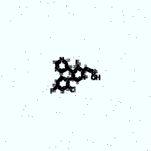 O/N=C\c1ncc(-c2ccc(F)cc2Cl)c(-c2cncnc2)c1F